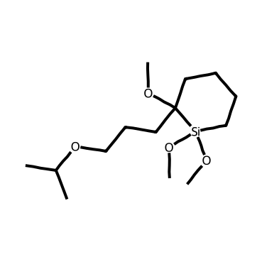 COC1(CCCOC(C)C)CCCC[Si]1(OC)OC